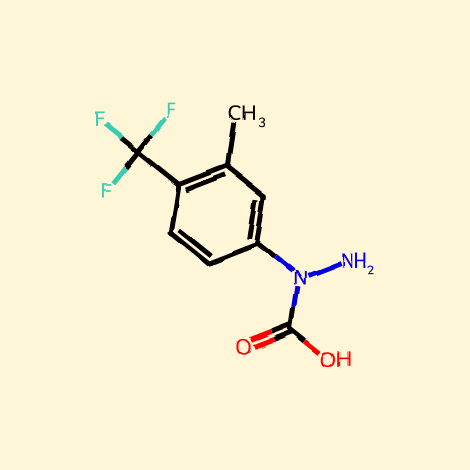 Cc1cc(N(N)C(=O)O)ccc1C(F)(F)F